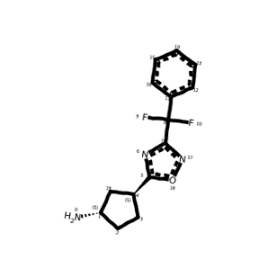 N[C@H]1CC[C@H](c2nc(C(F)(F)c3ccccc3)no2)C1